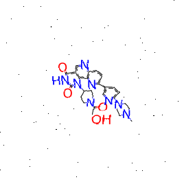 CN1CCN(c2ccc(-c3ccc4ncc5c(=O)[nH]c(=O)n(C6CCN(C(=O)CO)CC6)c5c4n3)cn2)CC1